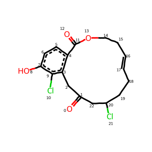 O=C1Cc2c(ccc(O)c2Cl)C(=O)OCC/C=C/CCC(Cl)C1